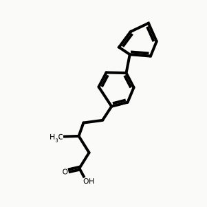 CC(CCc1ccc(-c2ccccc2)cc1)CC(=O)O